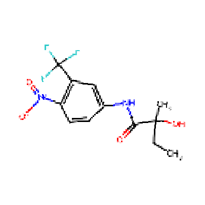 CCC(C)(O)C(=O)Nc1ccc([N+](=O)[O-])c(C(F)(F)F)c1